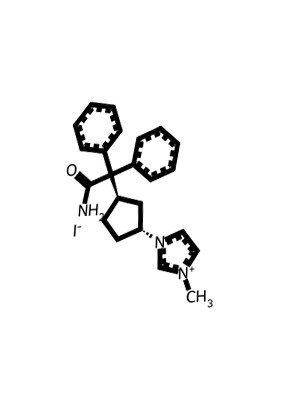 C[n+]1ccn([C@@H]2CC[C@@H](C(C(N)=O)(c3ccccc3)c3ccccc3)C2)c1.[I-]